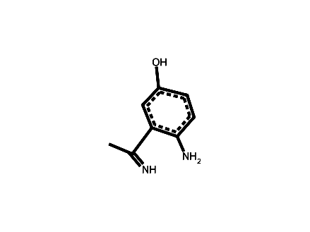 CC(=N)c1cc(O)ccc1N